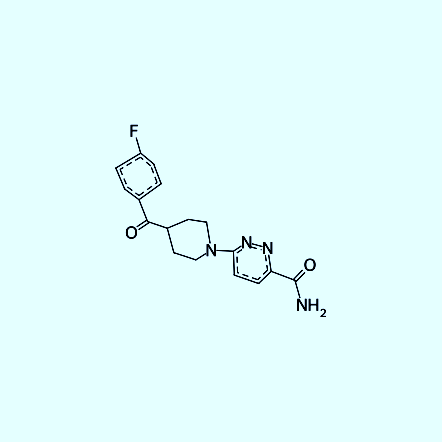 NC(=O)c1ccc(N2CCC(C(=O)c3ccc(F)cc3)CC2)nn1